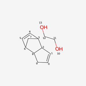 C1=CC2C3C=CC(C3)C2C1.OCCO